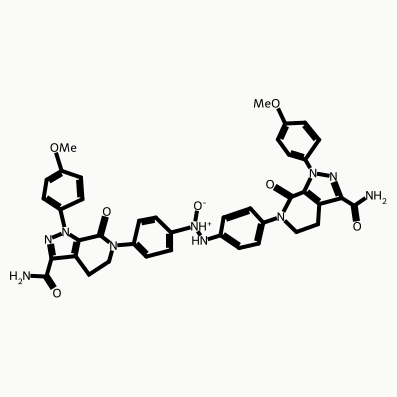 COc1ccc(-n2nc(C(N)=O)c3c2C(=O)N(c2ccc(N[NH+]([O-])c4ccc(N5CCc6c(C(N)=O)nn(-c7ccc(OC)cc7)c6C5=O)cc4)cc2)CC3)cc1